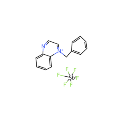 [F][Sb-]([F])([F])([F])([F])[F].c1ccc(C[n+]2ccnc3ccccc32)cc1